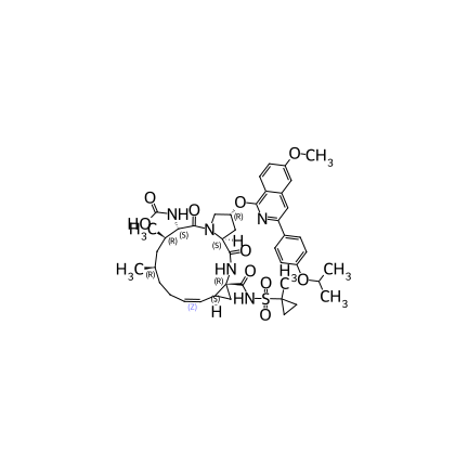 COc1ccc2c(O[C@@H]3C[C@H]4C(=O)N[C@]5(C(=O)NS(=O)(=O)C6(C)CC6)C[C@H]5/C=C\CC[C@@H](C)C[C@@H](C)[C@H](NC(=O)O)C(=O)N4C3)nc(-c3ccc(OC(C)C)cc3)cc2c1